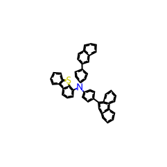 c1ccc2cc(-c3ccc(N(c4ccc(-c5cc6ccccc6c6ccccc56)cc4)c4cccc5c4sc4ccccc45)cc3)ccc2c1